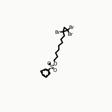 O=S(=O)(OCCCCCCCCC1(Br)CC1(Br)Br)c1ccccc1